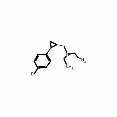 CCN(CC)C[C@H]1C[C@@H]1c1ccc(Br)cc1